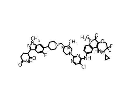 C[C@H]1CN(c2ncc(Cl)c(Nc3ccc4c(c3)c3c(c(=O)n4C)OCC(F)(F)[C@H](C4CC4)N3)n2)CC[C@H]1CN1CCC(c2cc3c(cc2F)c(C2CCC(=O)NC2=O)nn3C)CC1